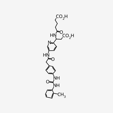 Cc1ccccc1NC(=O)Nc1ccc(CC(=O)Nc2ccc(C(CC(=O)O)NC(=O)CCCC(=O)O)nc2)cc1